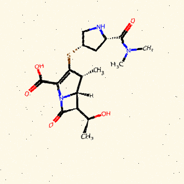 C[C@H](O)[C@H]1C(=O)N2C(C(=O)O)=C(S[C@@H]3CN[C@H](C(=O)N(C)C)C3)[C@H](C)[C@H]12